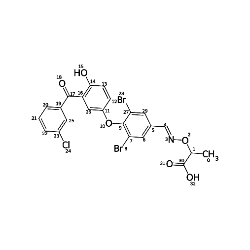 CC(ON=Cc1cc(Br)c(Oc2ccc(O)c(C(=O)c3cccc(Cl)c3)c2)c(Br)c1)C(=O)O